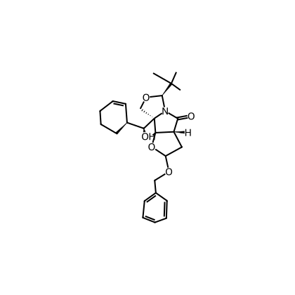 CC(C)(C)[C@@H]1OC[C@]2([C@@H](O)[C@@H]3C=CCCC3)N1C(=O)[C@@H]1CC(OCc3ccccc3)O[C@@]12C